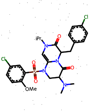 COc1ccc(Cl)cc1S(=O)(=O)N1CC(N(C)C)C(=O)N2C1=CN(C(C)C)C(=O)C2Cc1ccc(Cl)cc1